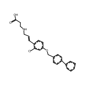 O=C(O)CCNCC=Cc1ccc(OCc2ccc(-c3ccccc3)cc2)cc1Cl